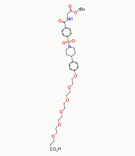 CC(C)(C)OC(=O)CNC(=O)c1ccc(S(=O)(=O)N2CCC(c3ccc(OCCOCCOCCOCCOCCOCCC(=O)O)cc3)CC2)cc1